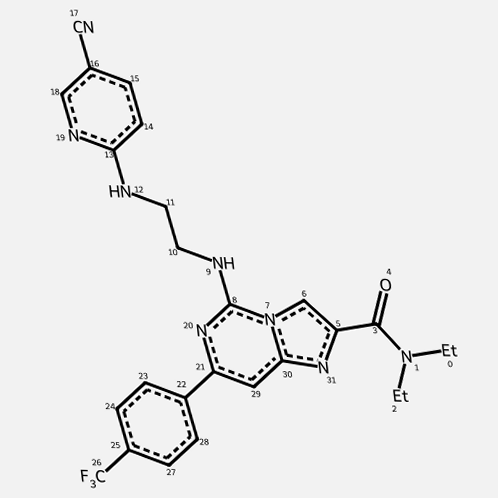 CCN(CC)C(=O)c1cn2c(NCCNc3ccc(C#N)cn3)nc(-c3ccc(C(F)(F)F)cc3)cc2n1